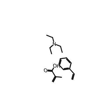 C=C(C)C(=O)O.C=Cc1ccccc1.CCN(CC)CC